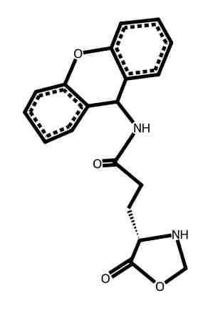 O=C(CC[C@@H]1NCOC1=O)NC1c2ccccc2Oc2ccccc21